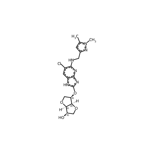 Cc1cc(CNc2nc3nc(O[C@@H]4CO[C@H]5[C@@H]4OC[C@H]5O)[nH]c3cc2Cl)nn1C